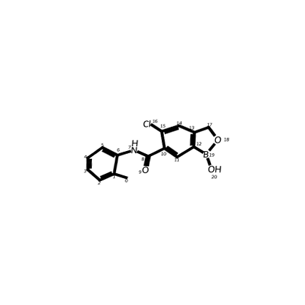 Cc1ccccc1NC(=O)c1cc2c(cc1Cl)COB2O